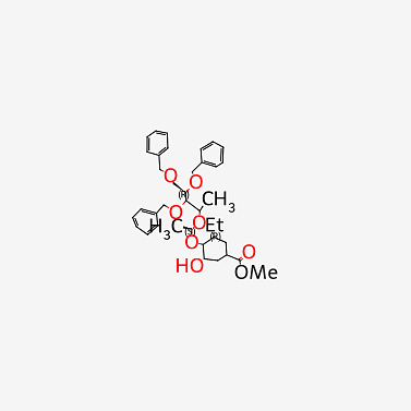 CC[C@@H]1CC(C(=O)OC)CC(O)C1O[C@@H](C)OC(C)C(OCc1ccccc1)[C@@H](COCc1ccccc1)OCc1ccccc1